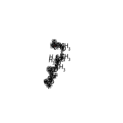 COc1cc(N(C)CCCCCC(=O)N(C)CCN2CCC(N(C(=O)O)c3ccccc3-c3ccccc3)CC2)c(Cl)cc1C(=O)N(C)CCCN(C)C(=O)CO[C@H]1Cc2ccccc2C12CCN(CC[C@]1(c3ccc(F)cc3)CN(C(=O)c3cc(C(F)(F)F)cc(C(F)(F)F)c3)CO1)CC2